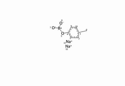 Cc1ccc(OB([O-])[O-])cc1.[Na+].[Na+]